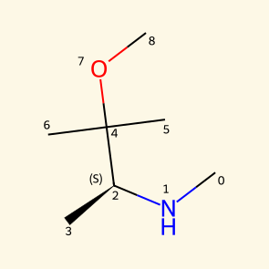 CN[C@@H](C)C(C)(C)OC